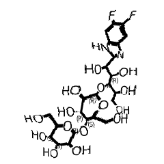 OCC1O[C@H](O[C@@H]2C(CO)O[C@H](O[C@H](C(O)CO)[C@H](O)C(O)c3nc4cc(F)c(F)cc4[nH]3)C(O)[C@H]2O)C(O)[C@@H](O)[C@@H]1O